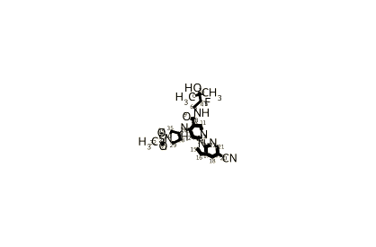 CC(C)(O)[C@H](F)CNC(=O)c1cnc(-n2ccc3cc(C#N)cnc32)cc1N[C@@H]1CCN(S(C)(=O)=O)C1